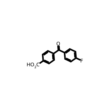 O=C(O)c1ccc(C(=O)c2ccc(F)cc2)cc1